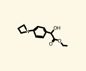 CCOC(=O)C(O)c1ccc(N2CCC2)cc1